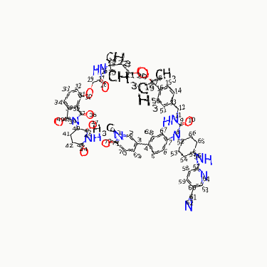 Cn1cc(-c2ccc(N(C(=O)NCc3ccc(C(C)(C)OCCC(C)(C)NC(=O)COc4cccc5c4C(=O)N(C4CCC(=O)NC4=O)C5=O)cc3)[C@H]3CC[C@H](Nc4ccc(C#N)cn4)CC3)cc2)ccc1=O